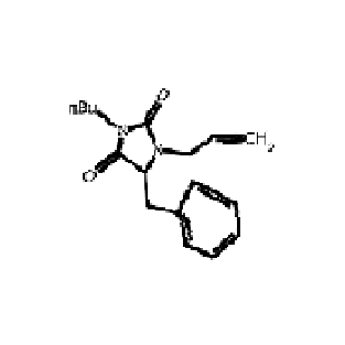 C=CCN1C(=O)N(CCCC)C(=O)C1Cc1ccccc1